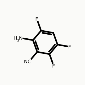 N#Cc1c(N)c(F)cc(F)c1F